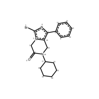 O=C1Cn2c(Br)nc(-c3ccccc3)c2CN1C1CCCCC1